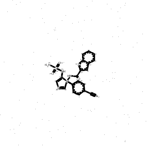 N#Cc1ccc([N+]2(NC(=O)c3cc4ccccc4s3)C=NC=C2NS(N)(=O)=O)cc1